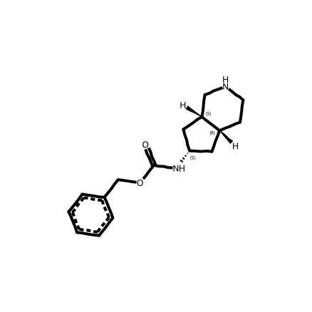 O=C(N[C@H]1C[C@H]2CCNC[C@H]2C1)OCc1ccccc1